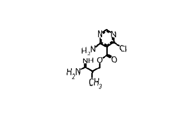 CC(COC(=O)c1c(N)ncnc1Cl)C(=N)N